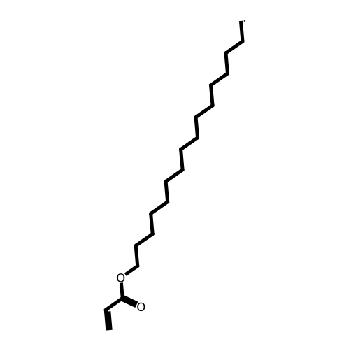 [CH2]CCCCCCCCCCCCCCCOC(=O)C=C